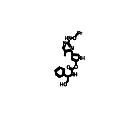 Cc1cnc(NOC(C)C)nc1-c1c[nH]c(OC(=O)NC(CO)c2ccccc2)c1